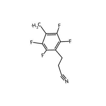 [CH2]c1c(F)c(F)c(CCC#N)c(F)c1F